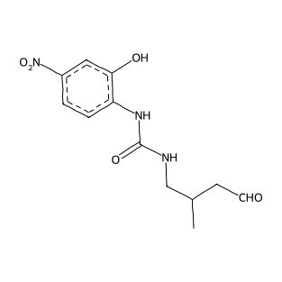 CC(CC=O)CNC(=O)Nc1ccc([N+](=O)[O-])cc1O